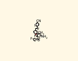 C[C@]1(c2cc(C=C(F)c3ccc(C#N)cn3)ccc2F)N=C(N)S[C@@]2(C(=O)N3CC[C@H](F)C3)C[C@H]21